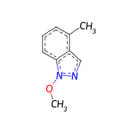 COn1ncc2c(C)cccc21